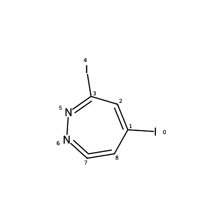 IC1=CC(I)=NN=C=C1